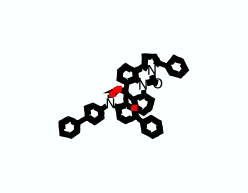 O=c1n2c3c(cccc3c3ccc(-c4ccccc4)n13)C1(c3ccccc3N(c3ccc(-c4ccccc4)cc3)c3ccc(-c4ccccc4)cc31)c1ccccc1-2